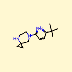 CC(C)(C)c1ccc(N2CCNC3(CC3)C2)nn1